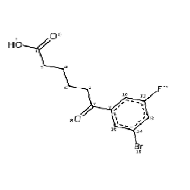 O=C(O)CCCCC(=O)c1cc(F)cc(Br)c1